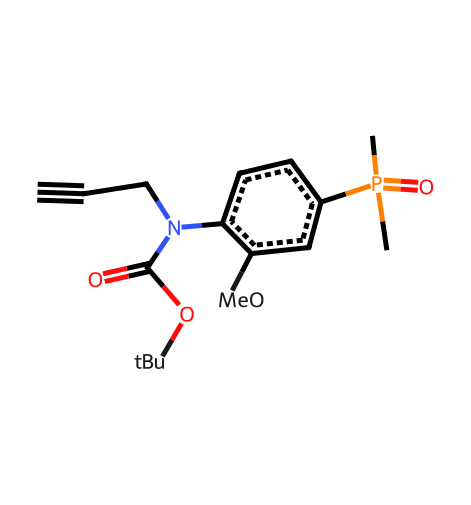 C#CCN(C(=O)OC(C)(C)C)c1ccc(P(C)(C)=O)cc1OC